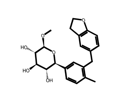 CO[C@H]1O[C@@H](c2ccc(C)c(Cc3ccc4c(c3)CCO4)c2)[C@H](O)[C@@H](O)[C@@H]1O